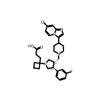 O=C(O)CCC1(N2C[C@H](CN3CCC(c4cnc5cc(Cl)ccn45)CC3)[C@@H](c3cccc(F)c3)C2)CCC1